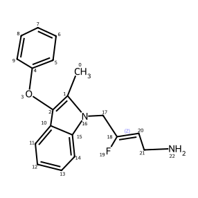 Cc1c(Oc2ccccc2)c2ccccc2n1C/C(F)=C/CN